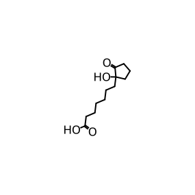 O=C(O)CCCCCCC1(O)CCCC1=O